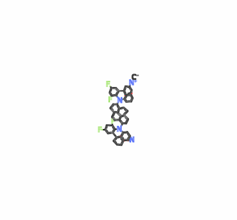 [C-]#[N+]c1cccc(-c2cc(F)cc(F)c2N(c2ccccc2)c2ccc3ccc4c(N(c5ccccc5)c5c(F)cc(F)cc5-c5cccc(C#N)c5)ccc5ccc2c3c54)c1